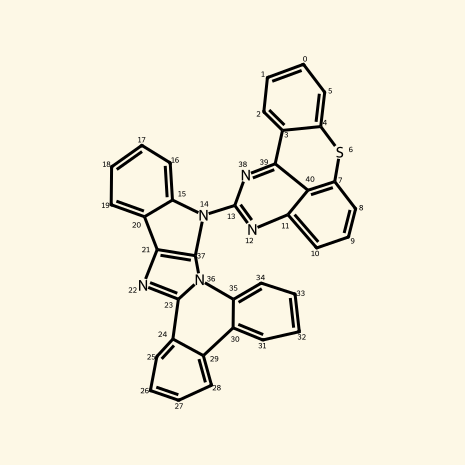 c1ccc2c(c1)Sc1cccc3nc(-n4c5ccccc5c5nc6c7ccccc7c7ccccc7n6c54)nc-2c13